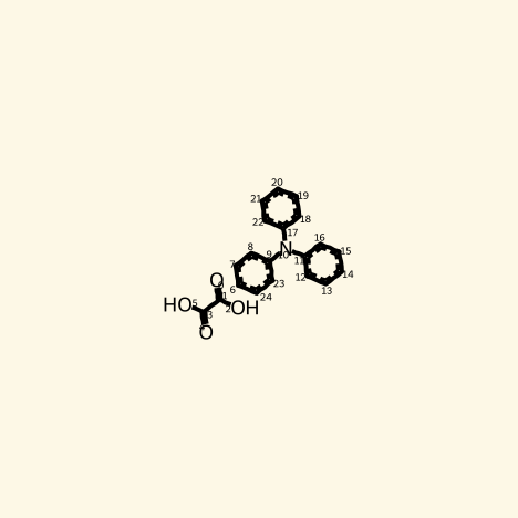 O=C(O)C(=O)O.c1ccc(N(c2ccccc2)c2ccccc2)cc1